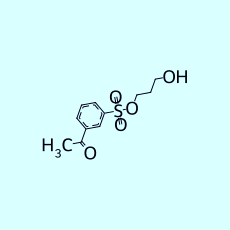 CC(=O)c1cccc(S(=O)(=O)OCCCO)c1